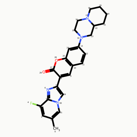 Cc1cc(F)c2nc(-c3cc4ccc(N5CCN6CCCCC6C5)cc4oc3=O)cn2c1